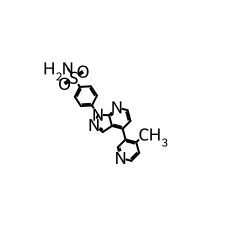 Cc1ccncc1-c1ccnc2c1cnn2-c1ccc(S(N)(=O)=O)cc1